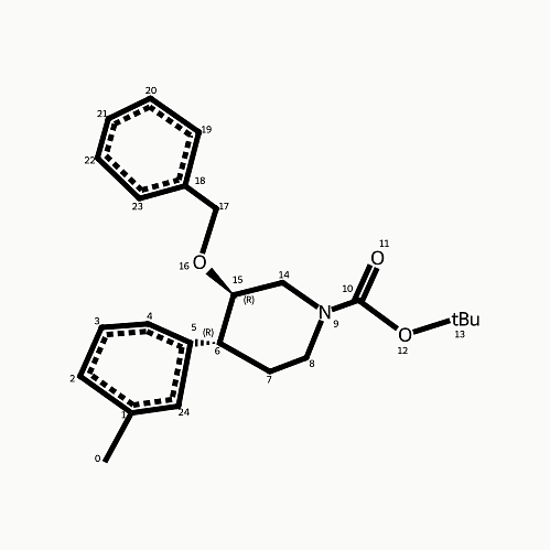 Cc1cccc([C@H]2CCN(C(=O)OC(C)(C)C)C[C@@H]2OCc2ccccc2)c1